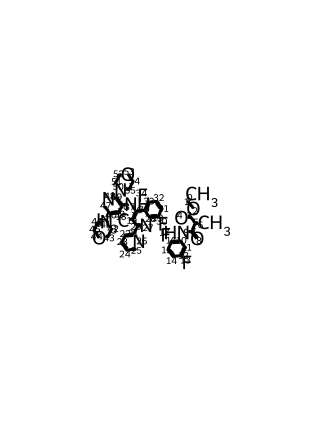 CCOC(=O)C(C)C(=O)Nc1cc(F)ccc1F.Cc1c(-c2ccccn2)nc2c(F)ccc(F)c2c1Nc1cc(N2CCOCC2)cnc1N1CCOCC1